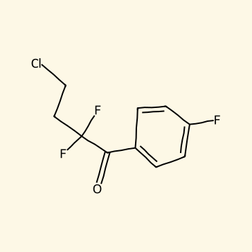 O=C(c1ccc(F)cc1)C(F)(F)CCCl